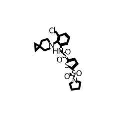 O=S(=O)(Nc1cccc(Cl)c1N1CCC2(CC1)CC2)c1ccc(S(=O)(=O)N2CCCC2)s1